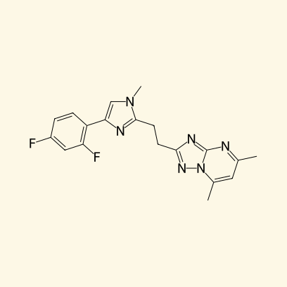 Cc1cc(C)n2nc(CCc3nc(-c4ccc(F)cc4F)cn3C)nc2n1